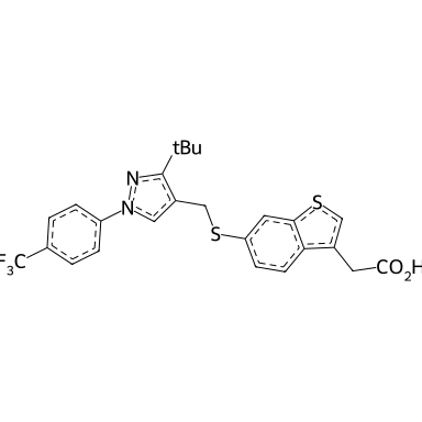 CC(C)(C)c1nn(-c2ccc(C(F)(F)F)cc2)cc1CSc1ccc2c(CC(=O)O)csc2c1